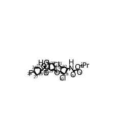 CC(C)OC(=O)C(=O)Nc1cc(Cl)c(Oc2ccc(O)c(S(=O)(=O)c3ccc(F)cc3)c2)c(Cl)c1